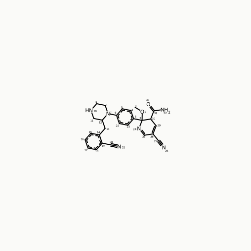 COC1(c2ccc(N3CCNCC3Cc3ccccc3C#N)cc2)N=CC(C#N)=CC1C(N)=O